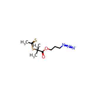 CC(=S)SC(C)(C)C(=O)OCCCN=[N+]=[N-]